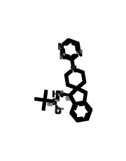 CC(C)(C)[S@@+]([O-])N[C@@H]1c2ccccc2CC12CCN(c1nccnn1)CC2